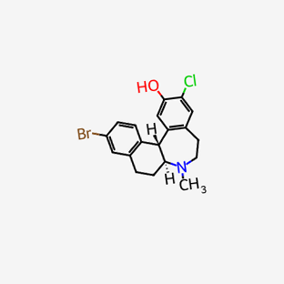 CN1CCc2cc(Cl)c(O)cc2[C@H]2c3ccc(Br)cc3CC[C@@H]21